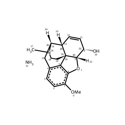 COc1ccc2c3c1O[C@H]1[C@@H](O)C=C[C@H]4[C@@H](C2)N(C)CC[C@@]341.N